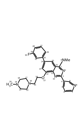 CNc1nc(-c2cccnc2)nc2c(OCCN3CCN(C)CC3)cc(-c3cccc(F)c3)cc12